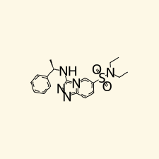 CCN(CC)S(=O)(=O)c1ccc2nnc(N[C@H](C)c3ccccc3)n2c1